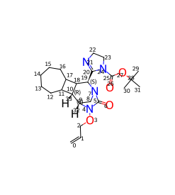 C=CCON1C(=O)N2C[C@H]1[C@@H]1C3CCCCCC3C1[C@H]2C1=NCCN1C(=O)OC(C)(C)C